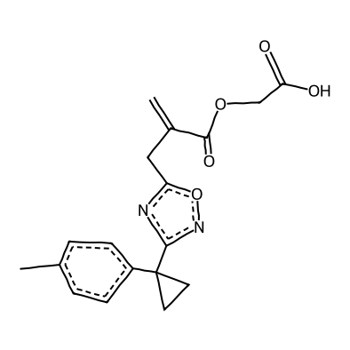 C=C(Cc1nc(C2(c3ccc(C)cc3)CC2)no1)C(=O)OCC(=O)O